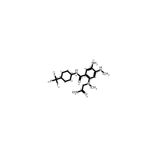 CNc1cc(N(C)CC(N)=O)c(C(=O)NC2CCC(C(F)(F)F)CC2)cc1N